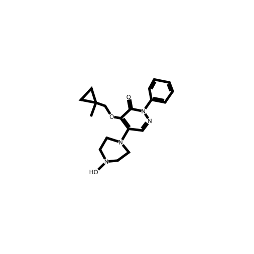 CC1(COc2c(N3CCN(O)CC3)cnn(-c3ccccc3)c2=O)CC1